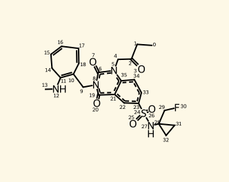 CCC(=O)Cn1c(=O)n(CC2=C(NC)CC=CC=C2)c(=O)c2cc(S(=O)(=O)NC3(CF)CC3)ccc21